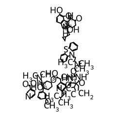 C=CCC1(C(C)CC)C(=O)NC(=O)NC1=O.CC(C)Cc1ccc(C(C)C(=O)O)cc1.CC(CN1c2ccccc2Sc2ccccc21)N(C)C.COc1cccc([C@@]2(O)CCCC[C@@H]2CN(C)C)c1.O=C(O)c1cccnc1.O=C1CC[C@@]2(O)[C@H]3Cc4ccc(O)c5c4[C@@]2(CCN3CC2CC2)[C@H]1O5